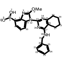 COc1nc2c(B(O)O)cccc2n1-c1nc2c(c(NCc3ccccc3)n1)CCCC2